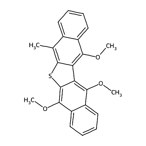 COc1c2ccccc2c(OC)c2c1sc1c(C)c3ccccc3c(OC)c12